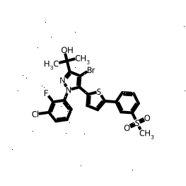 CC(C)(O)c1nn(-c2cccc(Cl)c2F)c(-c2ccc(-c3cccc(S(C)(=O)=O)c3)s2)c1Br